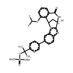 COP(=O)(OC)OC(C)(C)c1ccc(-c2ccc3nc4n(c3c2)C2C[C@H]4NC(=O)c3cccc(OC(F)F)c32)cn1